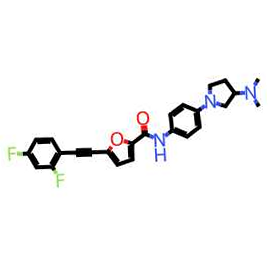 CN(C)C1CCN(c2ccc(NC(=O)c3ccc(C#Cc4ccc(F)cc4F)o3)cc2)C1